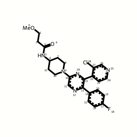 COCCC(=O)NC1CCN(c2cnc(-c3ccc(F)cc3)c(-c3ccncc3Cl)n2)CC1